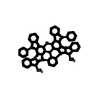 Cc1c2ccccc2n2c3c4c5c(c6c7ccccc7n(-c7ccccc7)c63)Oc3c6c7c(c8c3c3ccccc3n8-c3ccccc3)n3c8ccccc8c(C)c3n7-c3cccc(c3B56)-n4c12